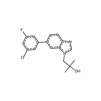 CC(C)(O)Cn1cnc2ccc(-c3cc(F)cc(Cl)c3)cc21